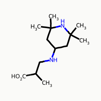 CC(CNC1CC(C)(C)NC(C)(C)C1)C(=O)O